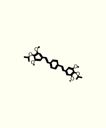 COc1cc(/C=C/c2ccc(/C=C/c3cc(OC)c(OC(C)C)c(OC)c3)cc2)cc(OC)c1OC(C)C